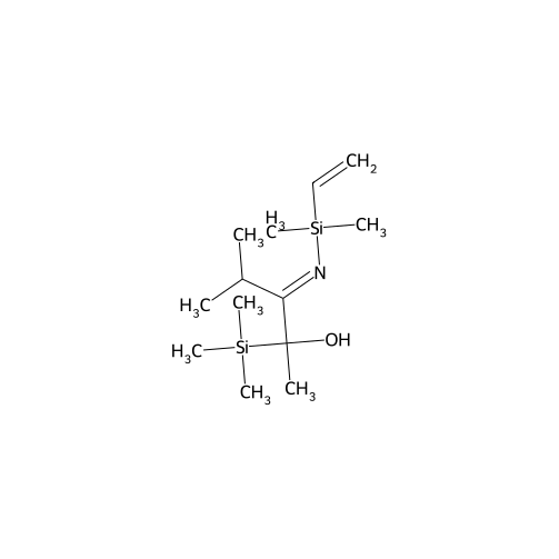 C=C[Si](C)(C)/N=C(\C(C)C)C(C)(O)[Si](C)(C)C